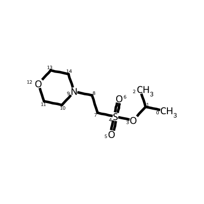 CC(C)OS(=O)(=O)CCN1CCOCC1